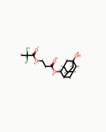 CC(F)(F)C(=O)OCCC(=O)OC1C2CC3CC1CC(O)(C3)C2